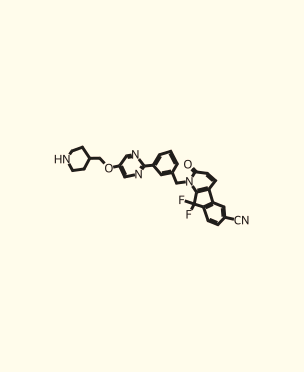 N#Cc1ccc2c(c1)-c1ccc(=O)n(Cc3cccc(-c4ncc(OCC5CCNCC5)cn4)c3)c1C2(F)F